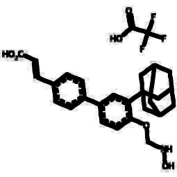 O=C(O)C(F)(F)F.O=C(O)C=Cc1ccc(-c2ccc(OCNO)c(C34CC5CC(CC(C5)C3)C4)c2)cc1